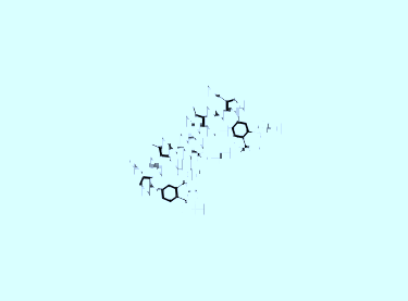 [C-]#[N+]c1cnn(-c2ccc(C(=O)O)c(C(=O)O)c2)c1N=Nc1c(C)nn(-c2nc(O)nc(-n3nc(C)c(N=Nc4c(C#N)cnn4-c4ccc(C(=O)O)c(SOO)c4)c3N)n2)c1N